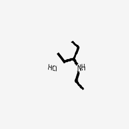 CCNC(CC)CC.Cl